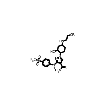 N#CC1CC(NCCC(F)(F)F)CCC1n1cc(C(N)=O)c(Nc2ccc(S(=O)(=O)C(F)(F)F)cc2)n1